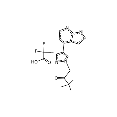 CC(C)(C)C(=O)Cn1cc(-c2ccnc3[nH]ccc23)cn1.O=C(O)C(F)(F)F